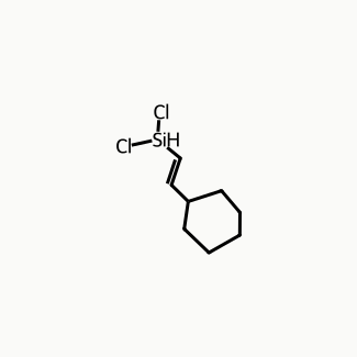 Cl[SiH](Cl)C=CC1CCCCC1